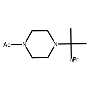 CCCC(C)(C)N1CCN(C(C)=O)CC1